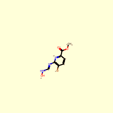 COC(=O)c1ccc(Br)c(/N=C/NO)n1